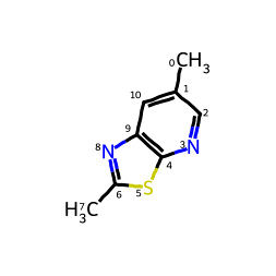 Cc1cnc2sc(C)nc2c1